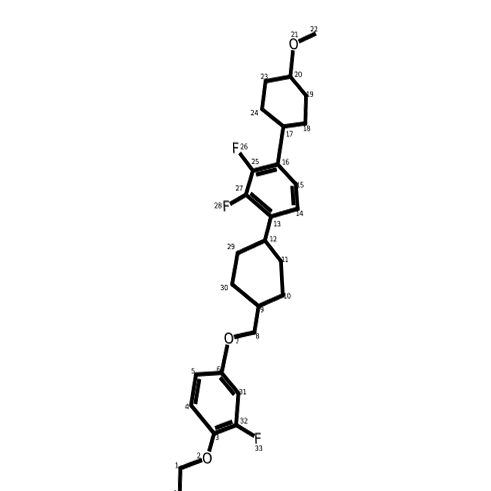 CCOc1ccc(OCC2CCC(c3ccc(C4CCC(OC)CC4)c(F)c3F)CC2)cc1F